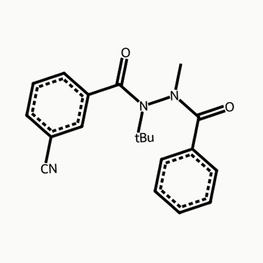 CN(C(=O)c1ccccc1)N(C(=O)c1cccc(C#N)c1)C(C)(C)C